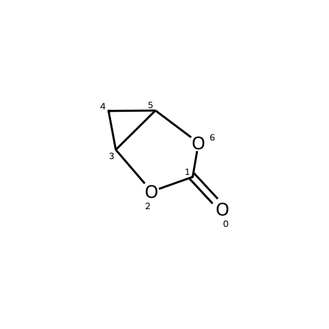 O=C1OC2CC2O1